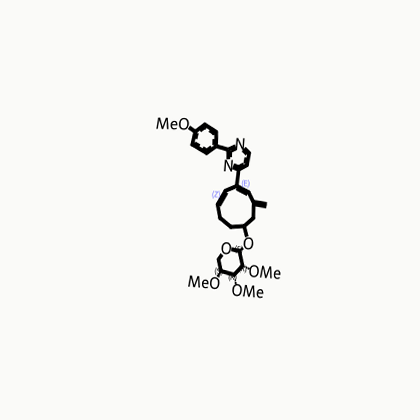 C=C1/C=C(c2ccnc(-c3ccc(OC)cc3)n2)\C=C/CCC(O[C@@H]2OC[C@H](OC)[C@@H](OC)[C@H]2OC)C1